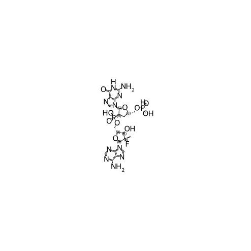 C[C@]1(F)[C@H](O)[C@@H](COP(=O)(O)[C@@H]2C[C@@H](CO[PH](=O)O)O[C@H]2n2cnc3c(=O)[nH]c(N)nc32)O[C@H]1n1cnc2c(N)ncnc21